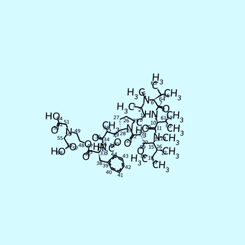 CCC(C)N(C)[C@H](C(=O)N[C@H](C(=O)N(C)[C@@H]([C@@H](C)CC)[C@@H](CC(=O)N1CCC[C@H]1[C@H](OC)[C@@H](C)C(=O)N[C@@H](Cc1ccccc1)C(=O)OCCN(CC(=O)O)CC(=O)O)OC)C(C)C)C(C)C